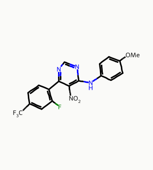 COc1ccc(Nc2ncnc(-c3ccc(C(F)(F)F)cc3F)c2[N+](=O)[O-])cc1